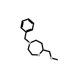 COCC1CCN(Cc2ccccc2)CCO1